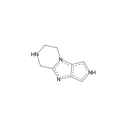 c1[nH]cc2c1nc1n2CCNC1